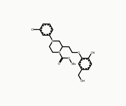 CC(C)(C)OC(=O)N1CCN(c2cccc(Cl)c2)CC1CCOc1cc(CO)ccc1C#N